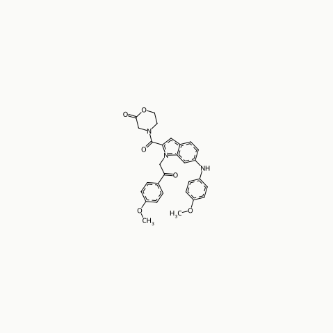 COc1ccc(Nc2ccc3cc(C(=O)N4CCOC(=O)C4)n(CC(=O)c4ccc(OC)cc4)c3c2)cc1